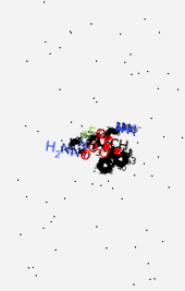 CC(C)(C)C(OC[C@H]1O[C@@H](n2ccc(N)nc2=O)C(F)(F)C1OC(=O)CCN=[N+]=[N-])(c1ccccc1)c1ccccc1